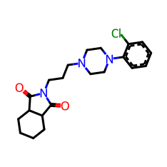 O=C1C2CCCCC2C(=O)N1CCCN1CCN(c2ccccc2Cl)CC1